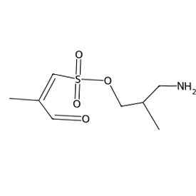 CC(C=O)=CS(=O)(=O)OCC(C)CN